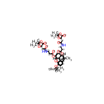 CC1CC[C@]23c4c5ccc(O[Si](C)(C)C(C)(C)C)c4O[C@H]2C(OC(=O)CCNC(=O)C[C@@H]2OC(C)(C)OC2=O)=CC[C@@]3(OC(=O)CCNC(=O)C[C@@H]2OC(C)(C)OC2=O)[C@H]1C5